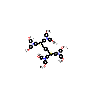 COc1ccc(N(c2ccc(OC)cc2)c2ccc(-c3cc(-c4ccc(N(c5ccc(OC)cc5)c5ccc(OC)cc5)cc4)c(/C=C/c4ccc(/C=C/c5sc(-c6ccc(N(c7ccc(OC)cc7)c7ccc(OC)cc7)cc6)cc5-c5ccc(N(c6ccc(OC)cc6)c6ccc(OC)cc6)cc5)cc4)s3)cc2)cc1